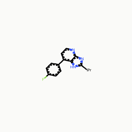 CC(C)c1nc2nccc(-c3ccc(F)cc3)c2[nH]1